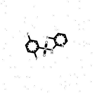 O=S(=O)(Nc1ncccc1F)c1cc(F)ccc1F